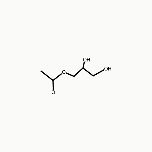 CC([O])OCC(O)CO